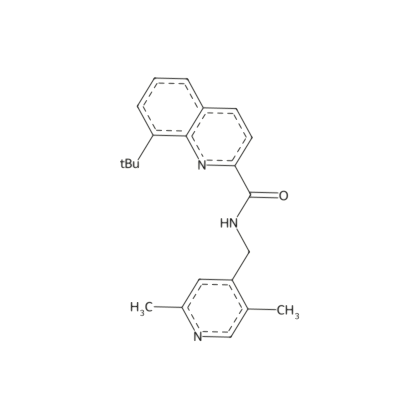 Cc1cc(CNC(=O)c2ccc3cccc(C(C)(C)C)c3n2)c(C)cn1